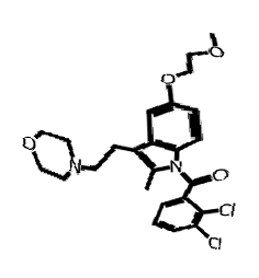 COCCOc1ccc2c(c1)c(CCN1CCOCC1)c(C)n2C(=O)c1cccc(Cl)c1Cl